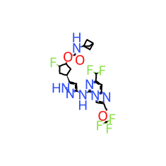 O=C(NC12CC(C1)C2)O[C@H]1C[C@@H](c2cc(Nc3nc(C(F)F)cc4nc(COC(F)(F)F)cn34)n[nH]2)C[C@H]1F